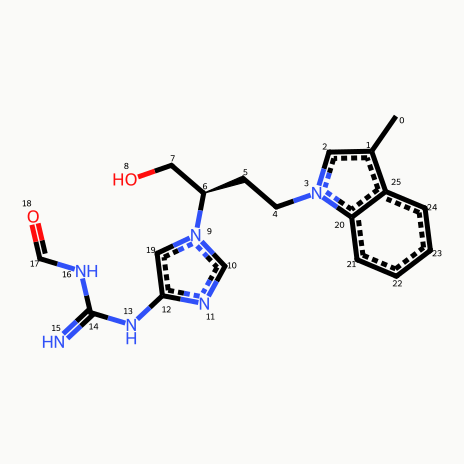 Cc1cn(CC[C@H](CO)n2cnc(NC(=N)NC=O)c2)c2ccccc12